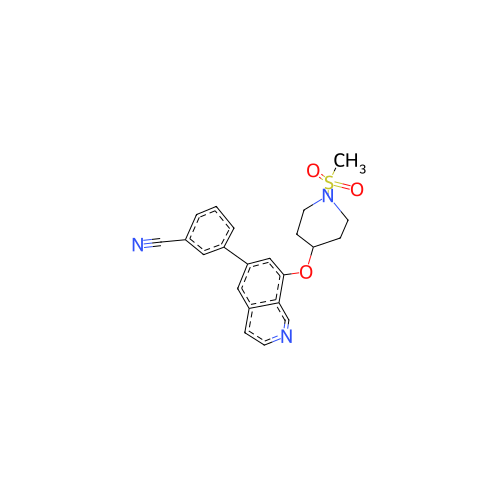 CS(=O)(=O)N1CCC(Oc2cc(-c3cccc(C#N)c3)cc3ccncc23)CC1